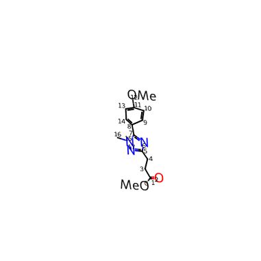 COC(=O)CCc1nc(-c2ccc(OC)cc2)n(C)n1